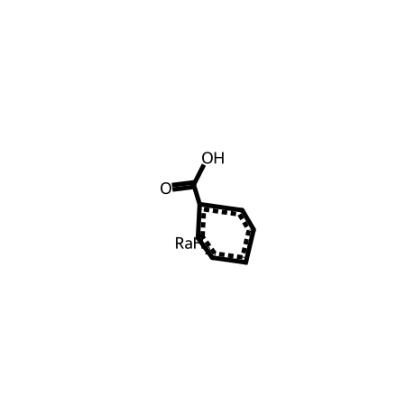 O=C(O)c1ccccc1.[RaH2]